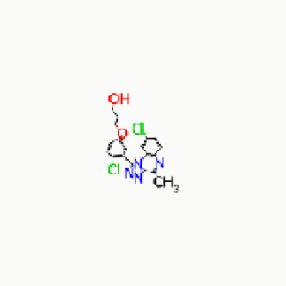 Cc1nc2ccc(Cl)cc2n2c(-c3cc(OCCCO)ccc3Cl)nnc12